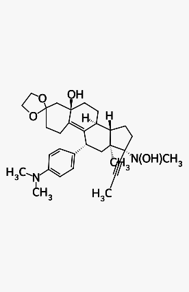 CC#C[C@]1(N(C)O)CC[C@H]2[C@@H]3CC[C@@]4(O)CC5(CCC4=C3[C@@H](c3ccc(N(C)C)cc3)C[C@@]21C)OCCO5